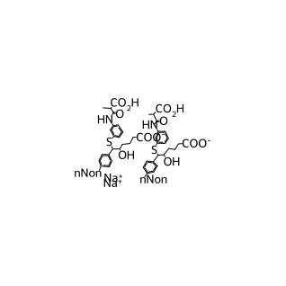 CCCCCCCCCc1ccc(C(Sc2cccc(NC(=O)C(C)C(=O)O)c2)C(O)CCCC(=O)[O-])cc1.CCCCCCCCCc1ccc(C(Sc2cccc(NC(=O)C(C)C(=O)O)c2)C(O)CCCC(=O)[O-])cc1.[Na+].[Na+]